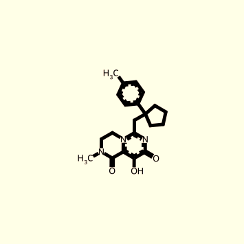 Cc1ccc(C2(Cc3nc(=O)c(O)c4n3CCN(C)C4=O)CCCC2)cc1